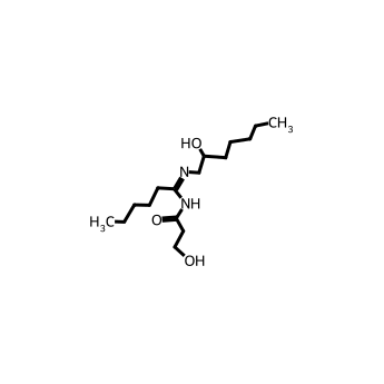 CCCCC/C(=N/CC(O)CCCCC)NC(=O)CCO